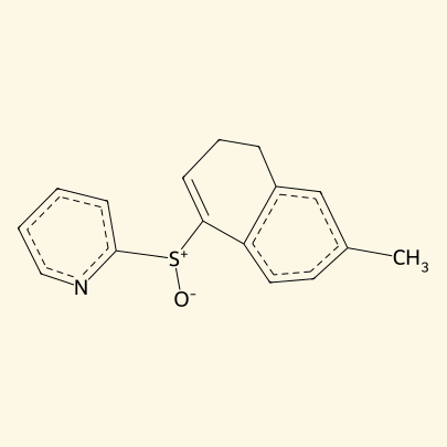 Cc1ccc2c(c1)CCC=C2[S+]([O-])c1ccccn1